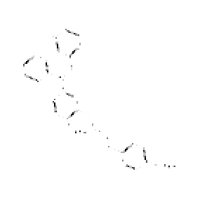 COc1ccc(CCCOc2cc(N(Cc3cccnc3)c3ccccc3)ccc2OC)cc1